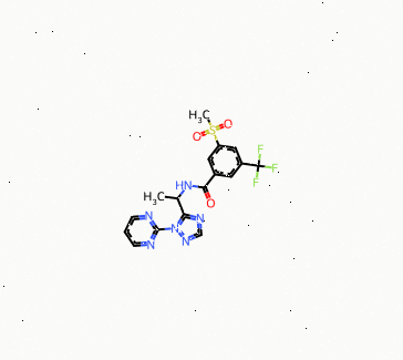 CC(NC(=O)c1cc(C(F)(F)F)cc(S(C)(=O)=O)c1)c1ncnn1-c1ncccn1